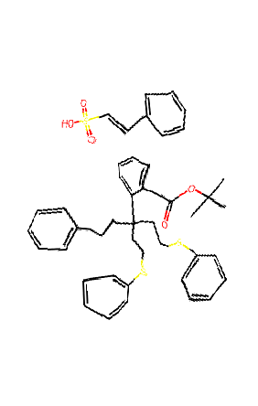 CC(C)(C)OC(=O)c1ccccc1C(CCSc1ccccc1)(CCSc1ccccc1)CCc1ccccc1.O=S(=O)(O)C=Cc1ccccc1